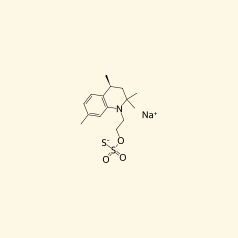 Cc1ccc2c(c1)N(CCOS(=O)(=O)[S-])C(C)(C)C[C@@H]2C.[Na+]